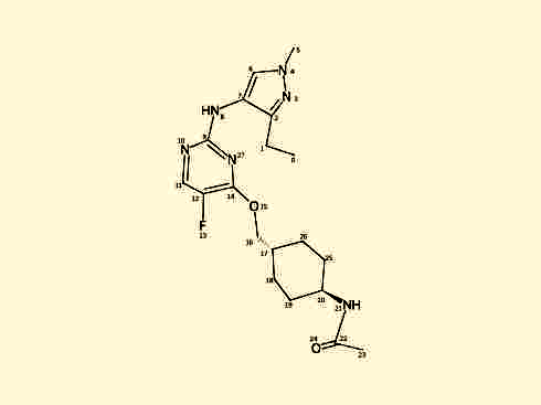 CCc1nn(C)cc1Nc1ncc(F)c(OC[C@H]2CC[C@H](NC(C)=O)CC2)n1